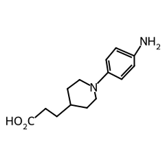 Nc1ccc(N2CCC(CCC(=O)O)CC2)cc1